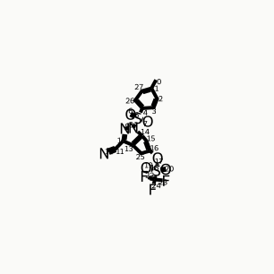 Cc1ccc(S(=O)(=O)n2nc(C#N)c3c2C=C(OS(=O)(=O)C(F)(F)F)C3)cc1